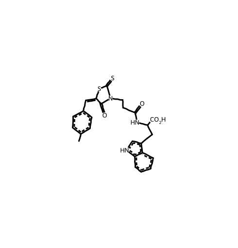 Cc1ccc(/C=C2/SC(=S)N(CCC(=O)NC(Cc3c[nH]c4ccccc34)C(=O)O)C2=O)cc1